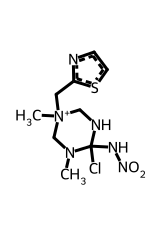 CN1C[N+](C)(Cc2nccs2)CNC1(Cl)N[N+](=O)[O-]